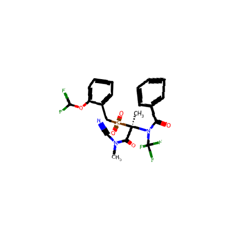 CN(C#N)C(=O)[C@](C)(N(C(=O)c1ccccc1)C(F)(F)F)S(=O)(=O)Cc1ccccc1OC(F)F